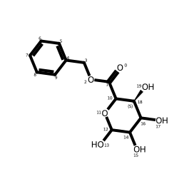 O=C(OCc1ccccc1)C1OC(O)C(O)C(O)[C@@H]1O